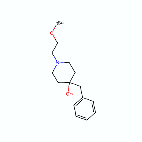 CC(C)(C)OCCN1CCC(O)(Cc2ccccc2)CC1